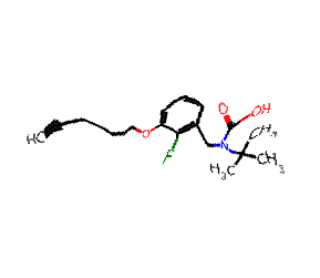 C#CCCCOc1cccc(CN(C(=O)O)C(C)(C)C)c1F